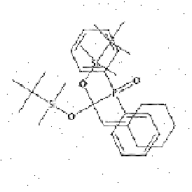 CC(C)(C)[Si](C)(C)OC(C=C1CCCCC1)(O[Si](C)(C)C(C)(C)C)P(=O)(c1ccccc1)c1ccccc1